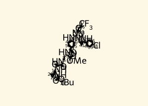 COC(=O)[C@@H](CCNC(=O)C(=O)NCC1(NC(=O)OC(C)(C)C)CC1)NC(=O)c1ccc(Nc2nc(NC3(c4ccc(Cl)cc4)CC3)nc(OCC(F)(F)F)n2)cc1